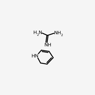 C1=CCNC=C1.N=C(N)N